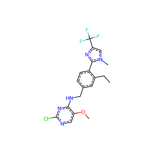 CCc1cc(CNc2nc(Cl)ncc2OC)ccc1-c1nc(C(F)(F)F)cn1C